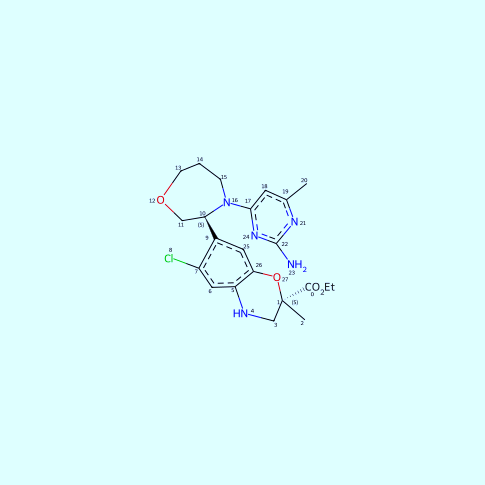 CCOC(=O)[C@]1(C)CNc2cc(Cl)c([C@H]3COCCCN3c3cc(C)nc(N)n3)cc2O1